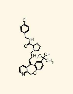 CC(C)(O)c1ccc2c(c1)C(=CCCN1CC[CH]C1C(=O)NCc1ccc(Cl)cc1)c1cccnc1CO2